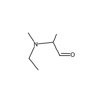 CCN(C)C(C)C=O